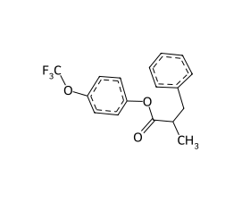 CC(Cc1ccccc1)C(=O)Oc1ccc(OC(F)(F)F)cc1